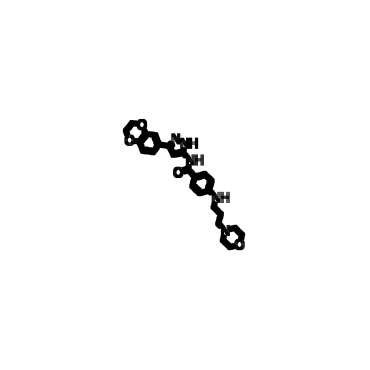 O=C(Nc1cc(-c2ccc3c(c2)OCCO3)n[nH]1)c1ccc(NCCCN2CCOCC2)cc1